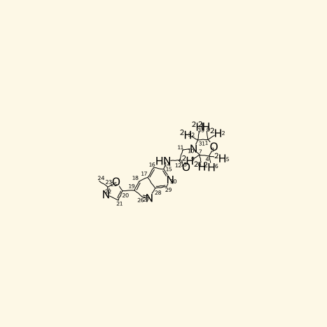 [2H]C1([2H])OC([2H])([2H])C([2H])([2H])N(CC(=O)Nc2cc3cc(-c4cnc(C)o4)cnc3cn2)C1([2H])[2H]